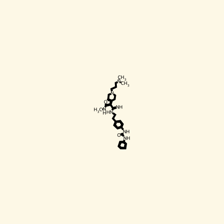 CNc1oc2c(c1C(=N)NCCc1ccc(NC(=O)Nc3ccccc3)cc1)CCN(CCCN(C)C)C2